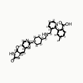 Cc1ccc(C(=O)O)c(-c2ncccc2CNCC2CCN(c3nccc(C=C4SC(=O)NC4=O)n3)CC2)c1